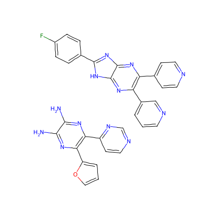 Fc1ccc(-c2nc3nc(-c4ccncc4)c(-c4cccnc4)nc3[nH]2)cc1.Nc1nc(-c2ccncn2)c(-c2ccco2)nc1N